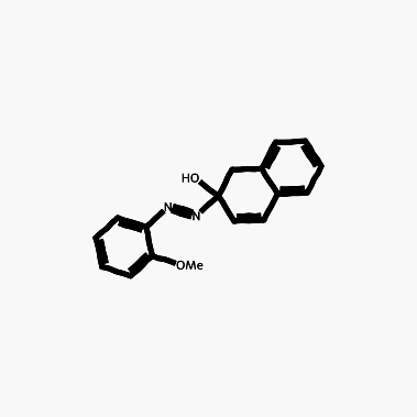 COc1ccccc1/N=N/C1(O)C=Cc2ccccc2C1